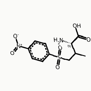 CC(CS(=O)(=O)c1ccc([N+](=O)[O-])cc1)[C@H](N)C(=O)O